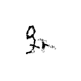 COC(C)(C)[C@@H](NC(N)=O)c1ccccc1